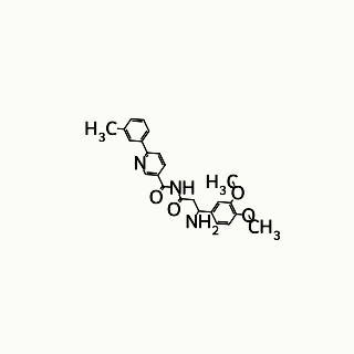 COc1ccc(C(N)CC(=O)NC(=O)c2ccc(-c3cccc(C)c3)nc2)cc1OC